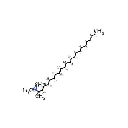 CCCCCCCCCCCCCCCCCCCCCCC(C)N(C)C